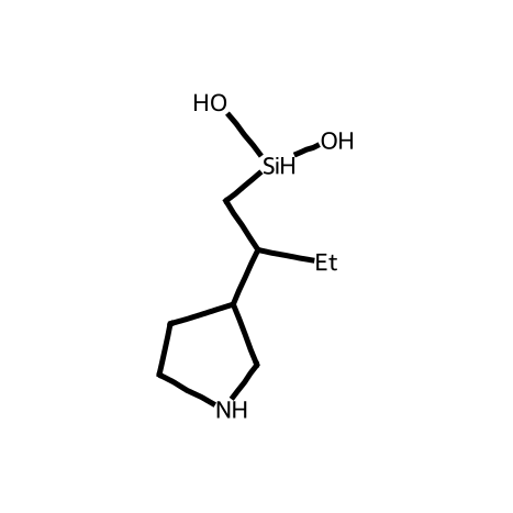 CCC(C[SiH](O)O)C1CCNC1